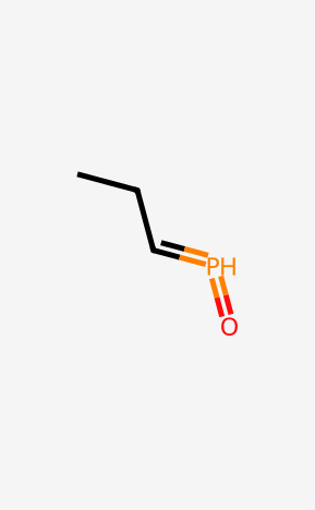 CCC=[PH]=O